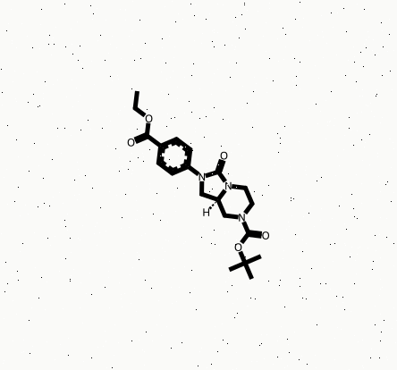 CCOC(=O)c1ccc(N2C[C@@H]3CN(C(=O)OC(C)(C)C)CCN3C2=O)cc1